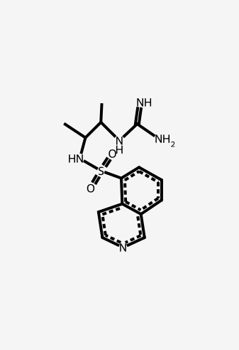 CC(NC(=N)N)C(C)NS(=O)(=O)c1cccc2cnccc12